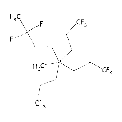 CP(CCC(F)(F)F)(CCC(F)(F)F)(CCC(F)(F)F)CCC(F)(F)C(F)(F)F